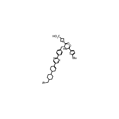 CC(C)CC1CCC(C2CC=C(c3cnc(-c4ccc(C[C@H](NC(=O)c5ccc(C(C)(C)C)s5)C(=O)N5CC(C(=O)O)C5)cc4)nc3)CC2)CC1